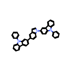 c1ccc(-n2c3ccccc3c3cc(-n4ccc5cc(-c6ccc7c8ccccc8n(-c8ccccc8)c7c6)ccc54)ccc32)cc1